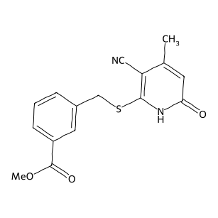 COC(=O)c1cccc(CSc2[nH]c(=O)cc(C)c2C#N)c1